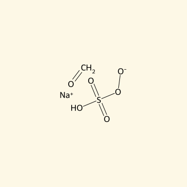 C=O.O=S(=O)(O)O[O-].[Na+]